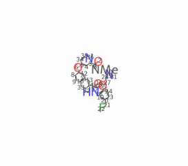 CNC(=O)c1cc(Oc2ccc3c(c2)CC(C(=O)Nc2cc(CF)ccc2OCCN(C)C)CC3)ccn1